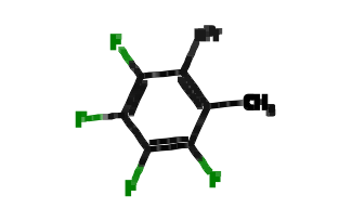 CCCc1c(C)c(F)c(F)c(F)c1F